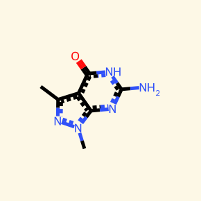 Cc1nn(C)c2nc(N)[nH]c(=O)c12